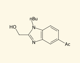 CCCCn1c(CO)nc2cc(C(C)=O)ccc21